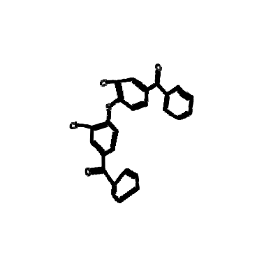 O=C(c1ccccc1)c1ccc(Sc2ccc(C(=O)c3ccccc3)cc2Cl)c(Cl)c1